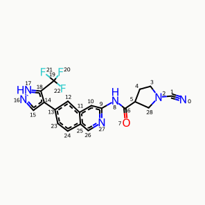 N#CN1CCC(C(=O)Nc2cc3cc(-c4cn[nH]c4C(F)(F)F)ccc3cn2)C1